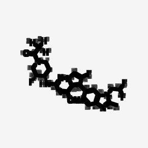 [2H]C([2H])([2H])C(=O)N1CC[C@H](Nc2nc(OC)c3c(-c4ccc5nc(C)n(CC(F)F)c5c4)c(F)cn3n2)[C@H](F)C1